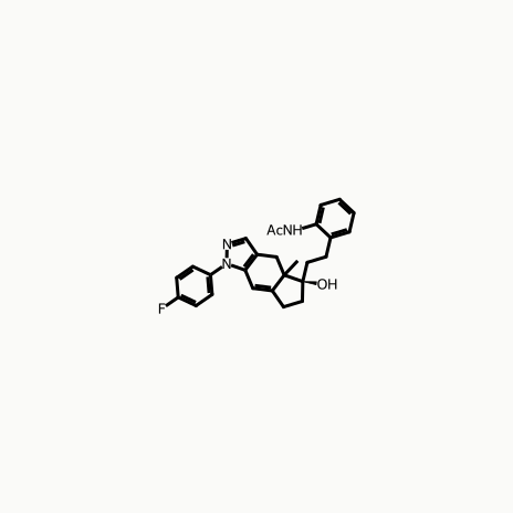 CC(=O)Nc1ccccc1CC[C@]1(O)CCC2=Cc3c(cnn3-c3ccc(F)cc3)CC21C